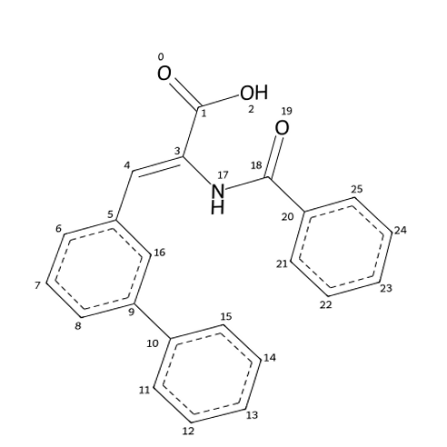 O=C(O)C(=Cc1cccc(-c2ccccc2)c1)NC(=O)c1ccccc1